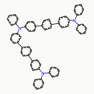 c1ccc(N(c2ccccc2)c2ccc(-c3ccc(-c4ccc(N(c5ccccc5)c5cccc(-c6ccc(-c7ccc(N(c8ccccc8)c8ccccc8)cc7)cc6)c5)cc4)cc3)cc2)cc1